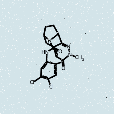 Cn1nc2c(cc1=O)CC1CCC2N1C(=O)Nc1cc(Cl)c(Cl)cc1F